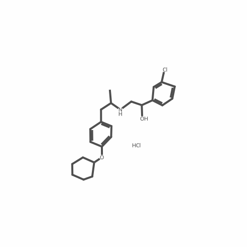 CC(Cc1ccc(OC2CCCCC2)cc1)NCC(O)c1cccc(Cl)c1.Cl